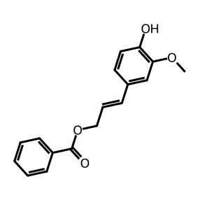 COc1cc(C=CCOC(=O)c2ccccc2)ccc1O